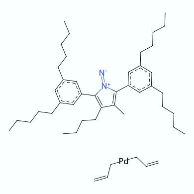 C=C[CH2][Pd][CH2]C=C.CCCCCc1cc(CCCCC)cc(C2=C(C)C(CCCC)=C(c3cc(CCCCC)cc(CCCCC)c3)[N+]2=[N-])c1